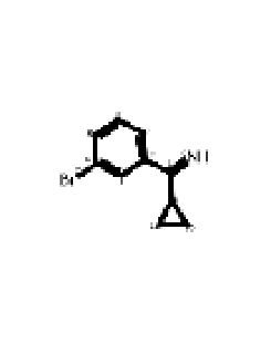 N=C(c1cccc(Br)c1)C1CC1